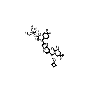 CC(C)(C)OC(=O)N[C@H](c1cn2ncc([C@@H](COC3CCC3)N3CC(F)(F)CNC3=O)cc2n1)C1CCC(F)(F)CC1